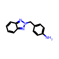 Nc1ccc(Cn2nc3ccccc3n2)cc1